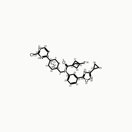 O=C(N(CC12CCC(c3ccnc(Cl)n3)(CC1)CC2)c1cccc(-c2nc(C3CC3)no2)c1)C12CC(F)(C1)C2